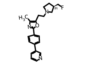 Cc1nc(-c2ccc(-c3cccnc3)cc2)oc1CCN1CC[C@@H](CF)C1